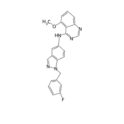 COc1cccc2ncnc(Nc3ccc4c(cnn4Cc4cccc(F)c4)c3)c12